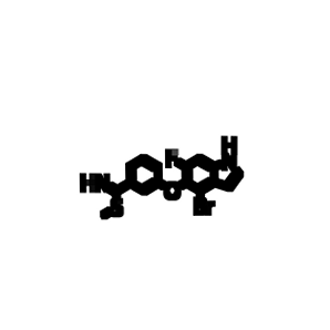 CSC(=N)c1cccc(Oc2c(F)cc3[nH]ccc3c2Br)c1